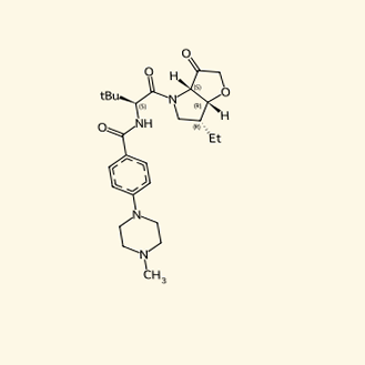 CC[C@@H]1CN(C(=O)[C@@H](NC(=O)c2ccc(N3CCN(C)CC3)cc2)C(C)(C)C)[C@@H]2C(=O)CO[C@H]12